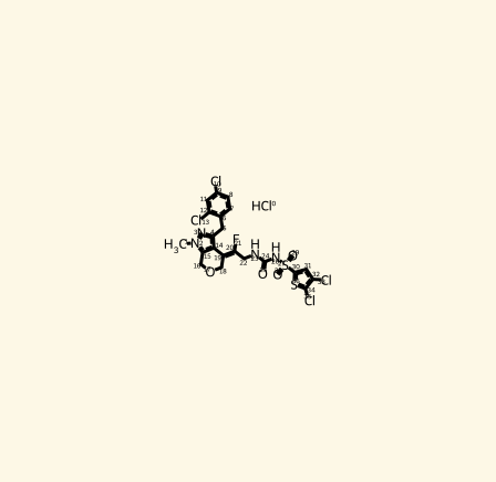 Cl.Cn1nc(Cc2ccc(Cl)cc2Cl)c2c1COCC2=C(F)CNC(=O)NS(=O)(=O)c1cc(Cl)c(Cl)s1